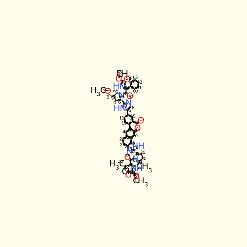 COC[C@H]1C[C@@H](c2ncc(-c3ccc4c(c3)c(=O)oc3cc5c(ccc6nc([C@@H]7CC[C@H](C)N7C(=O)[C@@H](NC(=O)OC)C(C)C)[nH]c65)cc34)[nH]2)N(C(=O)[C@H](NC(=O)OC)c2ccccc2)C1